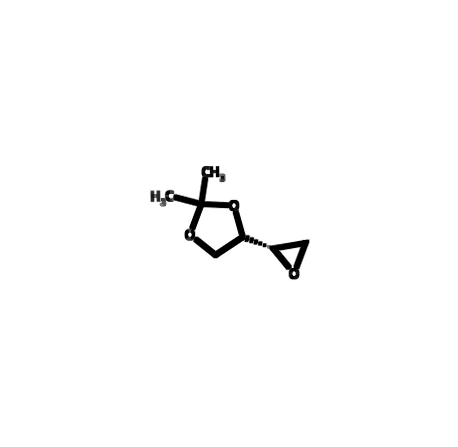 CC1(C)OCC([C@@H]2CO2)O1